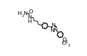 NC(=O)NCCCCc1ccc(-c2ncn(-c3ccc(OC(F)(F)F)cc3)n2)cc1